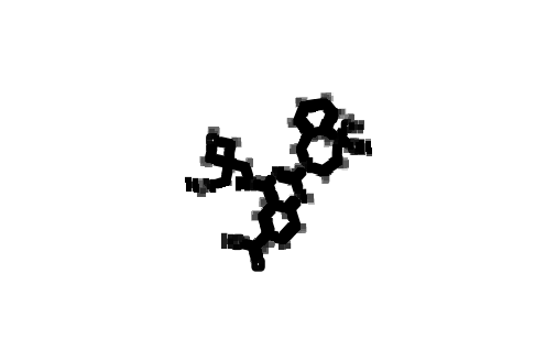 NCC1(CNc2nc(N3CCS(O)(O)c4ccccc4C3)nc3ccc(C(=O)O)cc23)COC1